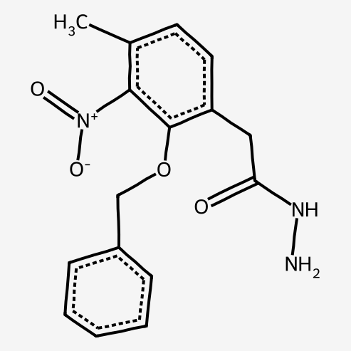 Cc1ccc(CC(=O)NN)c(OCc2ccccc2)c1[N+](=O)[O-]